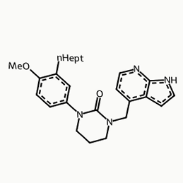 CCCCCCCc1cc(N2CCCN(Cc3ccnc4[nH]ccc34)C2=O)ccc1OC